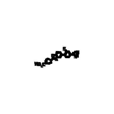 O=C(O)N1CCC(c2nc3cc(-c4ccc(-n5cnnn5)cc4F)ccc3o2)CC1